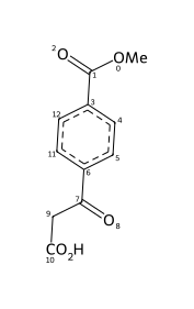 COC(=O)c1ccc(C(=O)CC(=O)O)cc1